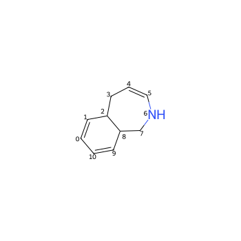 C1=CC2CC=CNCC2C=C1